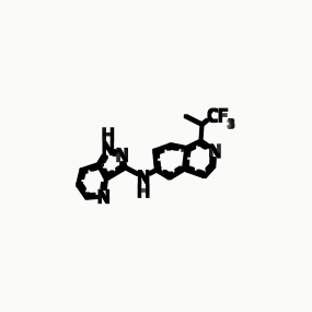 CC(c1nccc2cc(Nc3n[nH]c4cccnc34)ccc12)C(F)(F)F